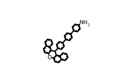 Nc1ccc(-c2ccc(-c3ccc(C4c5c(ccc6ccccc56)Oc5ccc6ccccc6c54)cc3)cc2)cc1